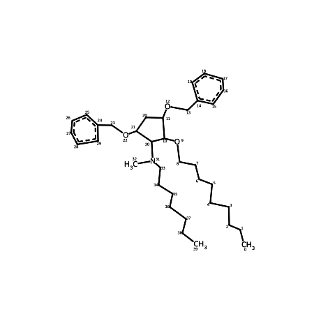 CCCCCCCCCOC1C(OCc2ccccc2)CC(OCc2ccccc2)C1N(C)CCCCCCC